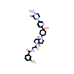 CN1CCN(c2ccc(C3(O)CCC(N4CC[C@H]5[C@@H]4CCN5C(=O)CNC(=O)c4cccc(C(F)(F)F)c4)CC3)nc2)CC1=O